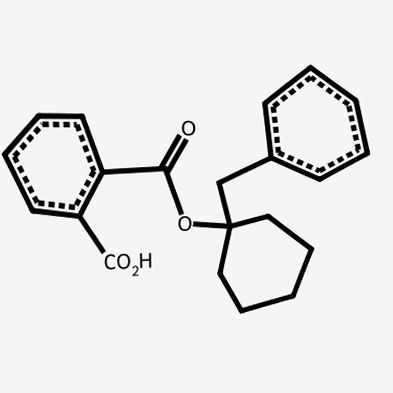 O=C(O)c1ccccc1C(=O)OC1(Cc2ccccc2)CCCCC1